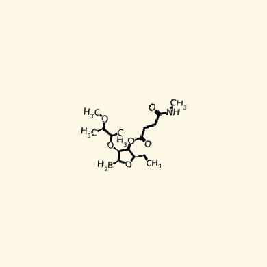 B[C@@H]1O[C@H](CC)C(OC(=O)CCC(=O)NC)[C@@H]1O[C@H](C)[C@@H](C)OC